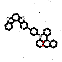 c1ccc(N(c2ccc(-c3ccc4c(c3)sc3ccc5oc6ccccc6c5c34)cc2)c2ccccc2-c2cccc3ccccc23)cc1